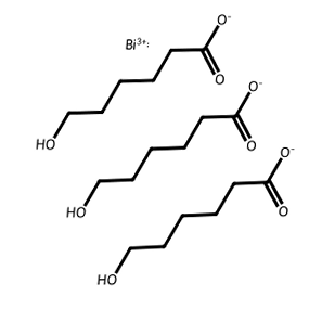 O=C([O-])CCCCCO.O=C([O-])CCCCCO.O=C([O-])CCCCCO.[Bi+3]